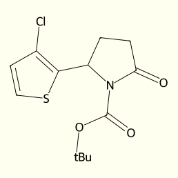 CC(C)(C)OC(=O)N1C(=O)CCC1c1sccc1Cl